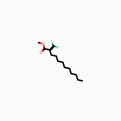 CCCCCCCCCCC(C(=O)OC)=C(F)F